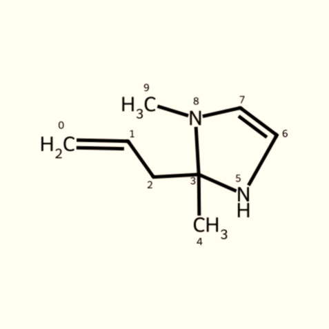 C=CCC1(C)NC=CN1C